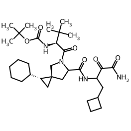 CC(C)(C)OC(=O)N[C@H](C(=O)N1C[C@@]2(CC1C(=O)NC(CC1CCC1)C(=O)C(N)=O)C[C@@H]2C1CCCCC1)C(C)(C)C